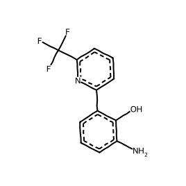 Nc1cccc(-c2cccc(C(F)(F)F)n2)c1O